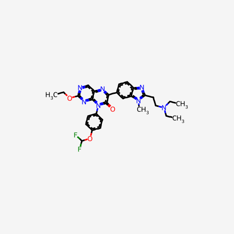 CCOc1ncc2nc(-c3ccc4nc(CCN(CC)CC)n(C)c4c3)c(=O)n(-c3ccc(OC(F)F)cc3)c2n1